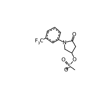 CS(=O)(=O)OC1CC(=O)N(c2cccc(C(F)(F)F)c2)C1